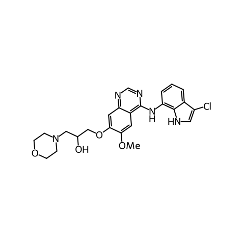 COc1cc2c(Nc3cccc4c(Cl)c[nH]c34)ncnc2cc1OCC(O)CN1CCOCC1